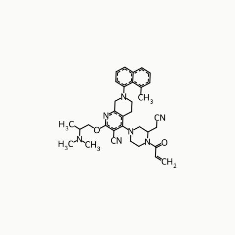 C=CC(=O)N1CCN(c2c(C#N)c(OCC(C)N(C)C)nc3c2CCN(c2cccc4cccc(C)c24)C3)CC1CC#N